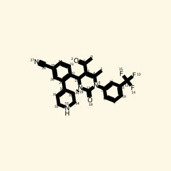 CC(=O)C1=C(C)N(c2cccc(C(F)(F)F)c2)C(=O)N(C)C1c1ccc(C#N)cc1C1=CCNCC1